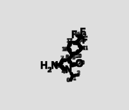 CC(C)n1cc(N)cc(-c2ccc(C(F)(F)F)cc2)c1=O